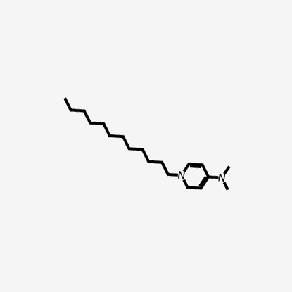 CCCCCCCCCCCCN1C=CC(N(C)C)=CC1